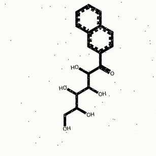 O=C(c1ccc2ccccc2c1)C(O)C(O)C(O)C(O)CO